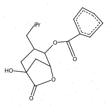 CC(C)CC1CC2(O)CC(OC2=O)C1OC(=O)c1ccccc1